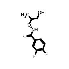 CC(CO)ONC(=O)c1ccc(F)c(F)c1